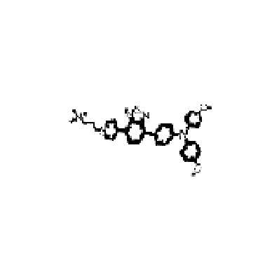 COc1ccc(N(c2ccc(OC)cc2)c2ccc(-c3ccc(-c4cc[n+](CCC[N+](C)(C)C)cc4)c4nsnc34)cc2)cc1